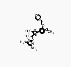 COc1ccc(-c2nc([C@H](C)Sc3nc(N)cc(N)n3)c(C)s2)cc1OCCN1CCOCC1